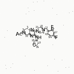 CC(=O)N1CCc2nc(N3CCN(Cc4ccc(F)cc4F)CC3)c(N[C@H]3CCOC3)nc2C1